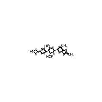 CCN1CC(c2ccc(-c3ccc(-c4cc(C)c5nn(C)cc5c4)cc3O)nn2)C1.Cl